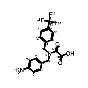 Nc1ccc(CN(Cc2ccc(C(F)(F)F)cc2)C(=O)C(=O)O)cc1